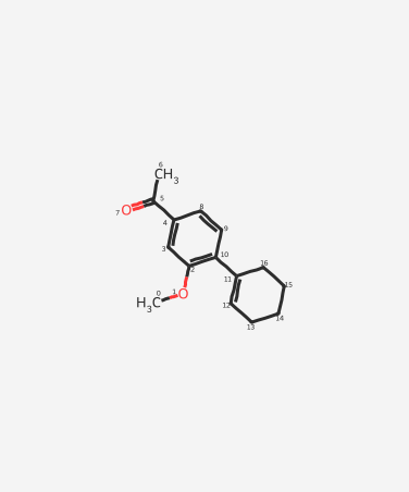 COc1cc(C(C)=O)ccc1C1=CCCCC1